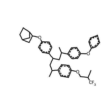 CC(CC(CC(C)c1ccc(Oc2ccccc2)cc1)c1ccc(OC2CC3CCC2C3)cc1)c1ccc(OCC(C)C(F)(F)F)cc1